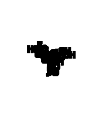 CCN1CCN(C(=O)NC(C(=O)N[C@H]2Cc3ccc(F)c(C(=O)O)c3OB2O)c2ccc(O)c(O)c2Cl)C(=O)C1=O